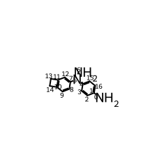 Nc1ccc(N(N)c2ccc3c(c2)CC3)cc1